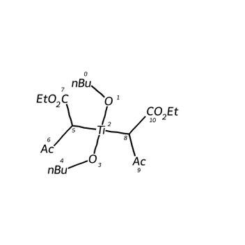 CCCC[O][Ti]([O]CCCC)([CH](C(C)=O)C(=O)OCC)[CH](C(C)=O)C(=O)OCC